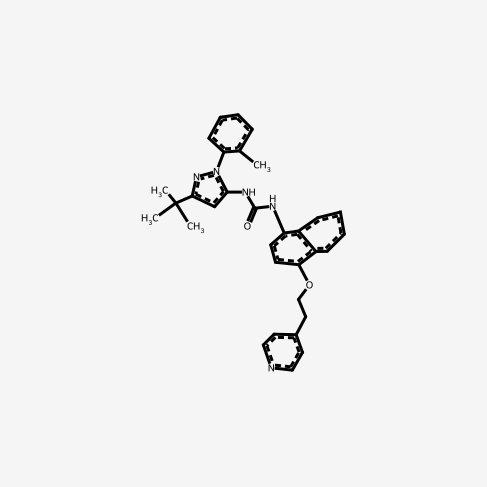 Cc1ccccc1-n1nc(C(C)(C)C)cc1NC(=O)Nc1ccc(OCCc2ccncc2)c2ccccc12